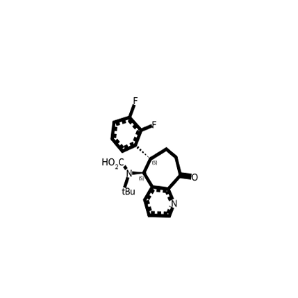 CC(C)(C)N(C(=O)O)[C@@H]1c2cccnc2C(=O)CC[C@H]1c1cccc(F)c1F